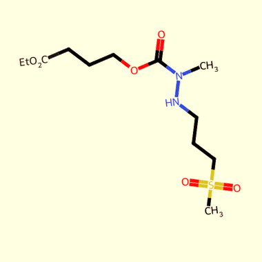 CCOC(=O)CCCOC(=O)N(C)NCCCS(C)(=O)=O